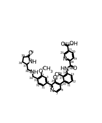 COc1cc(-c2nccc(-c3cccc(NC(=O)c4ccc(C(=O)O)cn4)c3Cl)c2Cl)ccc1CNCC1CCC(=O)N1